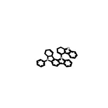 C1=CC2c3c(ccc4c5ccccc5n(C5=CCCc6oc7ccccc7c65)c34)N(c3ccccc3)C2CC1